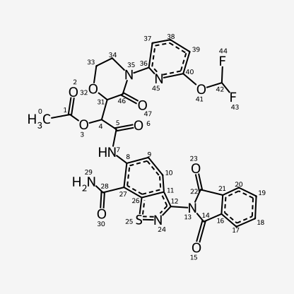 CC(=O)OC(C(=O)Nc1ccc2c(N3C(=O)c4ccccc4C3=O)nsc2c1C(N)=O)C1OCCN(c2cccc(OC(F)F)n2)C1=O